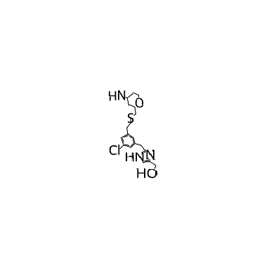 CNC1CCOC(CSCCc2cc(Cl)cc(Cc3nc(CO)c[nH]3)c2)C1